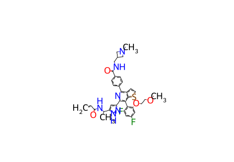 C=CC(=O)NC(C)c1cc(-c2nc(-c3ccc(C(=O)NCC4CN(C)C4)cc3)c3ccsc3c2-c2c(F)cc(F)cc2OCCOC)n[nH]1